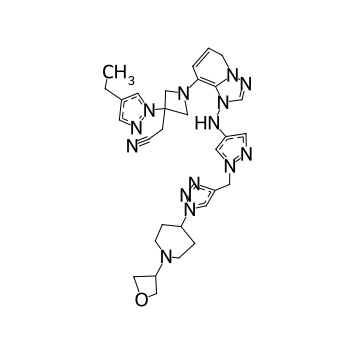 CCc1cnn(C2(CC#N)CN(C3=C4N(CC=C3)N=CN4Nc3cnn(Cc4cn(C5CCN(C6COC6)CC5)nn4)c3)C2)c1